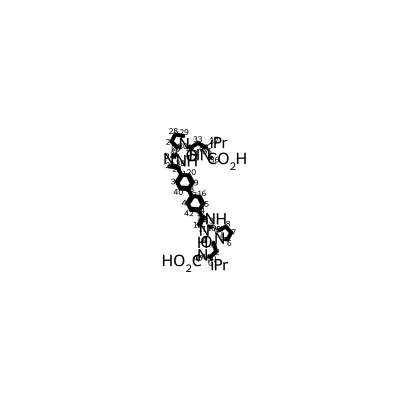 CC(C)[C@@H](CC(=O)N1CCC[C@H]1c1ncc(-c2ccc(-c3ccc(-c4cnc([C@@H]5CCCN5C(=O)C[C@@H](NC(=O)O)C(C)C)[nH]4)cc3)cc2)[nH]1)NC(=O)O